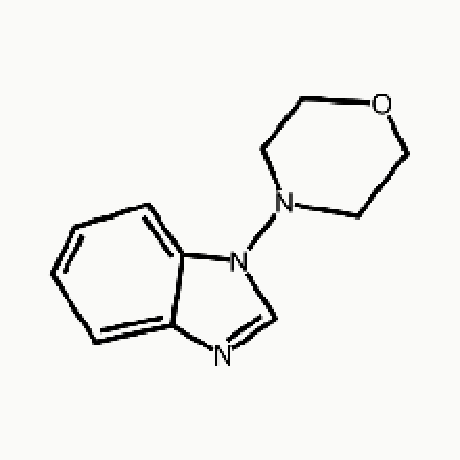 c1ccc2c(c1)ncn2N1CCOCC1